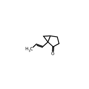 CC=CC12CC1CCC2=O